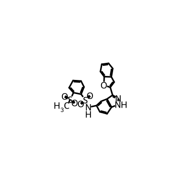 CS(=O)(=O)c1ccccc1S(=O)(=O)Nc1ccc2[nH]nc(-c3cc4ccccc4o3)c2c1